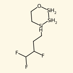 FC(F)C(F)CC[SiH]1CCO[SiH2][SiH2]1